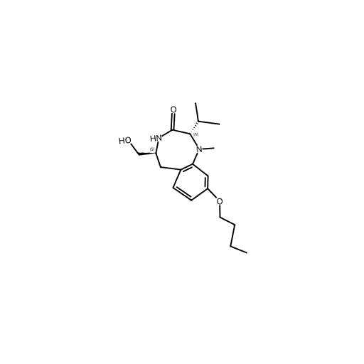 CCCCOc1ccc2c(c1)N(C)[C@@H](C(C)C)C(=O)N[C@H](CO)C2